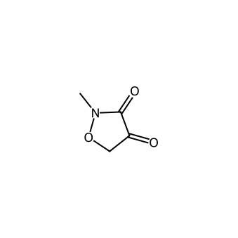 CN1OCC(=O)C1=O